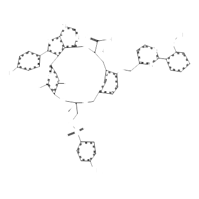 COc1ccccc1-c1nccc(COc2ccc3cc2C[C@H](C(=O)O)Oc2ncnc4sc(-c5ccc(F)cc5)c(c24)-c2cc(Cl)c(c(Cl)c2)O[C@@H](COS(=O)(=O)c2ccc(C)cc2)CC3)n1